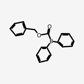 O=C(OCc1ccccc1)B(c1ccccc1)c1ccccc1